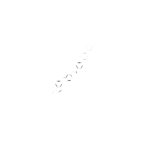 CNn1ccc2cc(Oc3ccnc(NC(=O)c4ccc(N5CCC(N6CCCC6)CC5)cc4)c3)c(OC)cc21